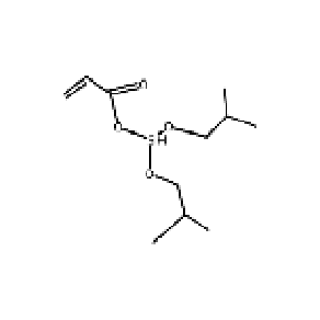 C=CC(=O)O[SiH](OCC(C)C)OCC(C)C